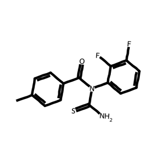 Cc1ccc(C(=O)N(C(N)=S)c2cccc(F)c2F)cc1